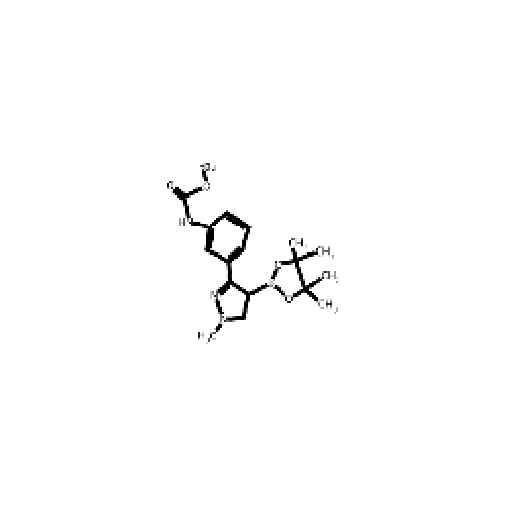 CN1CC(B2OC(C)(C)C(C)(C)O2)C(c2cccc(NC(=O)OC(C)(C)C)c2)=N1